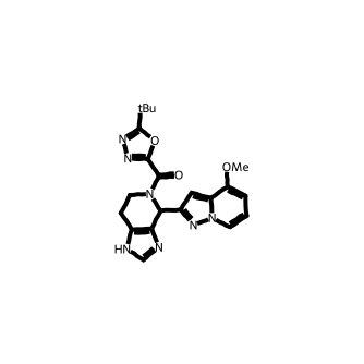 COc1cccn2nc(C3c4nc[nH]c4CCN3C(=O)c3nnc(C(C)(C)C)o3)cc12